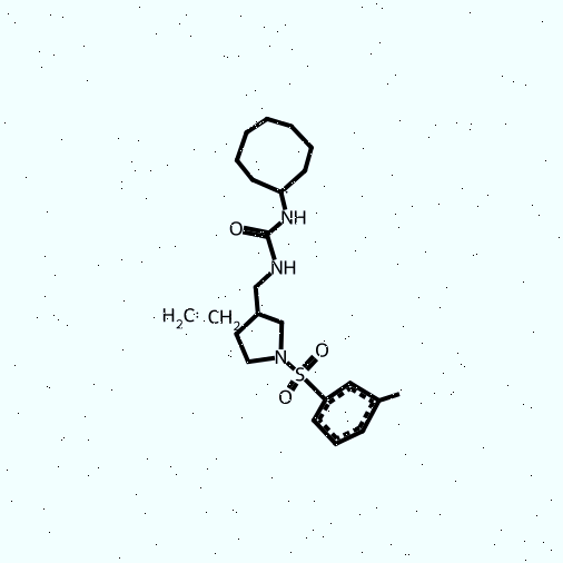 Cc1cccc(S(=O)(=O)N2CCC(CNC(=O)N[C]3CCCCCCC3)C2)c1.[CH2].[CH2]